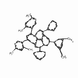 Cc1cc(C)cc(-c2cc3c(-c4ccccc4)cc4c(-c5cnc(C)cc5C)cc(-c5cnc(C)cc5C)c5cc(-c6ccccc6)c(c2)c3c45)c1